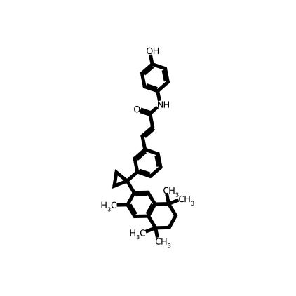 Cc1cc2c(cc1C1(c3cccc(C=CC(=O)Nc4ccc(O)cc4)c3)CC1)C(C)(C)CCC2(C)C